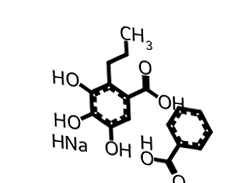 CCCc1c(C(=O)O)cc(O)c(O)c1O.O=C(O)c1ccccc1.[NaH]